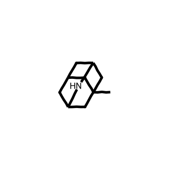 CC12CC3CC(C1)NC(C3)C2